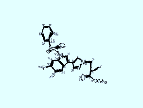 COC(=O)C(C)Cn1cc(-c2cn(S(=O)(=O)c3ccccc3)c3cc(F)ccc23)cn1